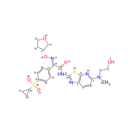 CN(CCO)c1ccc2nc(NC(=O)/C(=N/O[C@@H]3CCOC3)c3ccc(S(=O)(=O)C4CC4)cc3)sc2n1